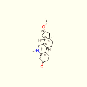 CCO[C@H]1C[C@H]2[C@@H]3CN(C)C4=CC(=O)CC[C@]4(C)[C@H]3CC[C@]2(C)C1